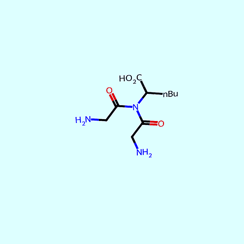 CCCCC(C(=O)O)N(C(=O)CN)C(=O)CN